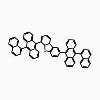 C1=CC2c3cc(-c4c5ccccc5c(-c5cccc6ccccc56)c5ccccc45)ccc3OC2C(c2c3ccccc3c(-c3cccc4ccccc34)c3ccccc23)=C1